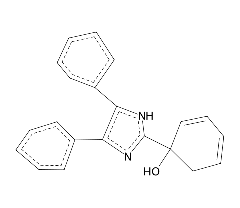 OC1(c2nc(-c3ccccc3)c(-c3ccccc3)[nH]2)C=CC=CC1